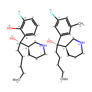 COCCCC[C@@](O)(c1cc(C)cc(F)c1)[C@@H]1CCCNC1.COCCCC[C@@](O)(c1cccc(F)c1O)[C@@H]1CCCNC1